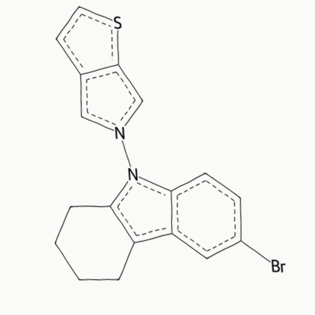 Brc1ccc2c(c1)c1c(n2-n2cc3ccsc3c2)CCCC1